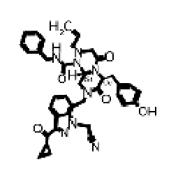 C=CCN1CC(=O)N2[C@@H](Cc3ccc(O)cc3)C(=O)N(Cc3cccc4c(C(=O)C5CC5)nn(CC#N)c34)C[C@@H]2N1C(=O)NCc1ccccc1